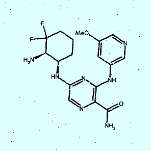 COc1cncc(Nc2nc(N[C@@H]3CCCC(F)(F)[C@@H]3N)cnc2C(N)=O)c1